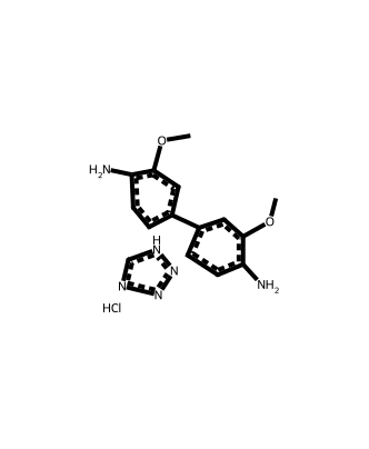 COc1cc(-c2ccc(N)c(OC)c2)ccc1N.Cl.c1nnn[nH]1